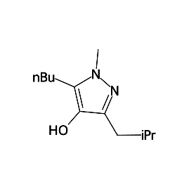 CCCCc1c(O)c(CC(C)C)nn1C